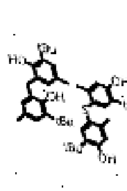 Cc1cc(Cc2cc(C)cc(C(C)(C)C)c2O)c(O)c(C(C)(C)C)c1.Cc1cc(O)c(C(C)(C)C)cc1Sc1cc(C(C)(C)C)c(O)cc1C